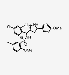 COc1ccc(C2CC(C(NS(=O)(=O)c3cc(C)ccc3OC)c3ccc(Cl)cc3Cl)=NN2)cc1